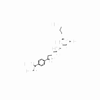 CCCCOC(=O)N[C@@H](CNC(=O)C[C@H]1CC(c2ccc(C(N)=NO)cc2)=NO1)C(=O)OC